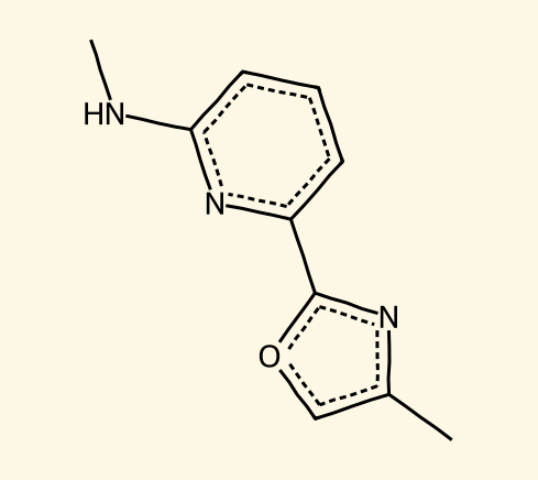 CNc1cccc(-c2nc(C)co2)n1